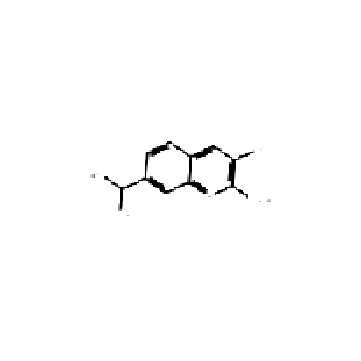 CCCC(C#N)c1ccc2cc(CC)c(OC)nc2c1